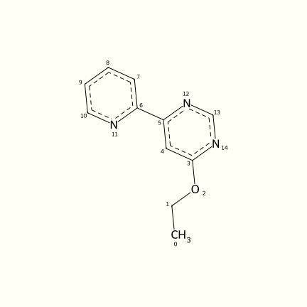 CCOc1cc(-c2ccccn2)ncn1